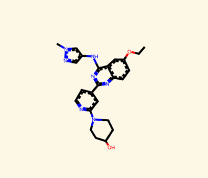 CCOc1ccc2nc(-c3ccnc(N4CCC(O)CC4)c3)nc(Nc3cnn(C)c3)c2c1